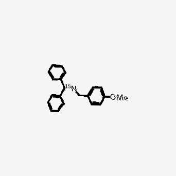 COc1ccc(C[15N]=C(c2ccccc2)c2ccccc2)cc1